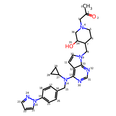 CC(=O)CN1CCC(Cn2ccc3c(N(Cc4ccc(-n5cccn5)cc4)C4CC4)ncnc32)C(O)C1